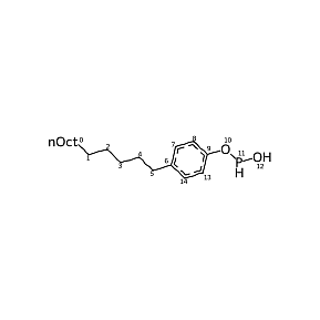 CCCCCCCCCCCCCc1ccc(OPO)cc1